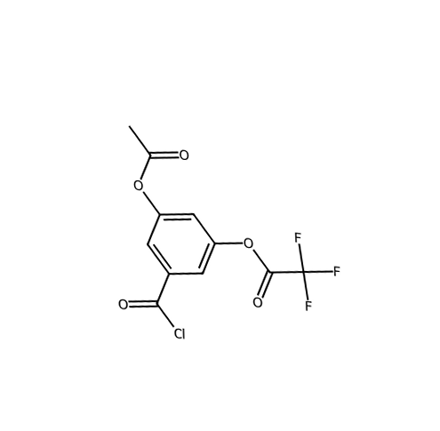 CC(=O)Oc1cc(OC(=O)C(F)(F)F)cc(C(=O)Cl)c1